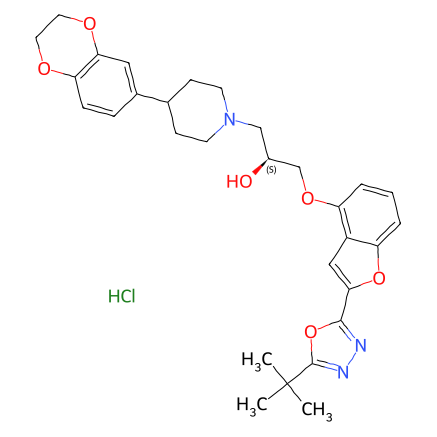 CC(C)(C)c1nnc(-c2cc3c(OC[C@@H](O)CN4CCC(c5ccc6c(c5)OCCO6)CC4)cccc3o2)o1.Cl